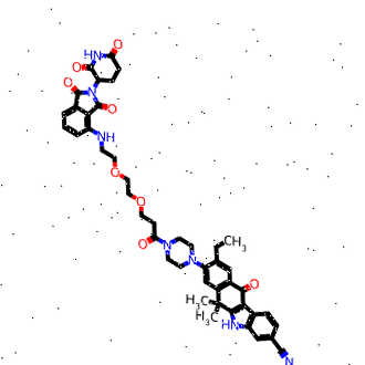 CCc1cc2c(cc1N1CCN(C(=O)CCOCCOCCNc3cccc4c3C(=O)N(C3CCC(=O)NC3=O)C4=O)CC1)C(C)(C)c1[nH]c3cc(C#N)ccc3c1C2=O